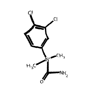 C[N+](C)(C(N)=O)c1ccc(Cl)c(Cl)c1